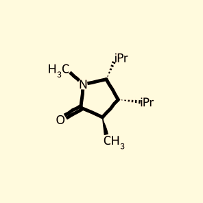 CC(C)[C@H]1[C@@H](C(C)C)N(C)C(=O)[C@@H]1C